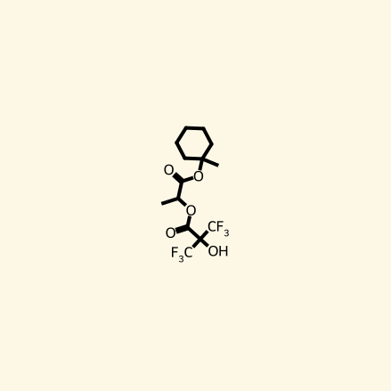 CC(OC(=O)C(O)(C(F)(F)F)C(F)(F)F)C(=O)OC1(C)CCCCC1